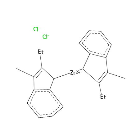 CCC1=C(C)c2ccccc2[CH]1[Zr+2][CH]1C(CC)=C(C)c2ccccc21.[Cl-].[Cl-]